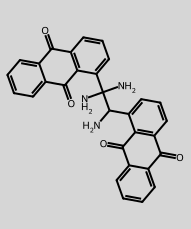 NC(c1cccc2c1C(=O)c1ccccc1C2=O)C(N)(N)c1cccc2c1C(=O)c1ccccc1C2=O